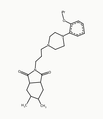 CC(C)Oc1ccccc1N1CCN(CCCN2C(=O)C3CC(C)C(C)CC3C2=O)CC1